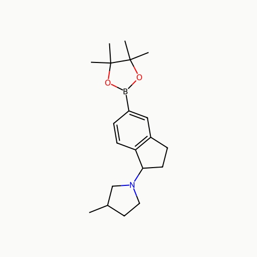 CC1CCN(C2CCc3cc(B4OC(C)(C)C(C)(C)O4)ccc32)C1